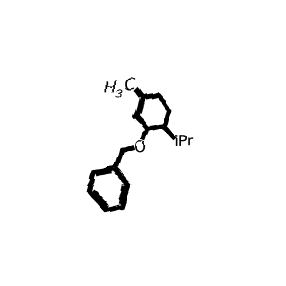 CC1CCC(C(C)C)C(OCc2ccccc2)C1